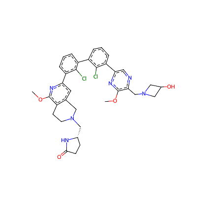 COc1nc(-c2cccc(-c3cccc(-c4cc5c(c(OC)n4)CCN(C[C@@H]4CCC(=O)N4)C5)c3Cl)c2Cl)cnc1CN1CC(O)C1